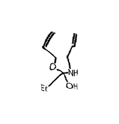 C=CCNC(O)(CC)OCC=C